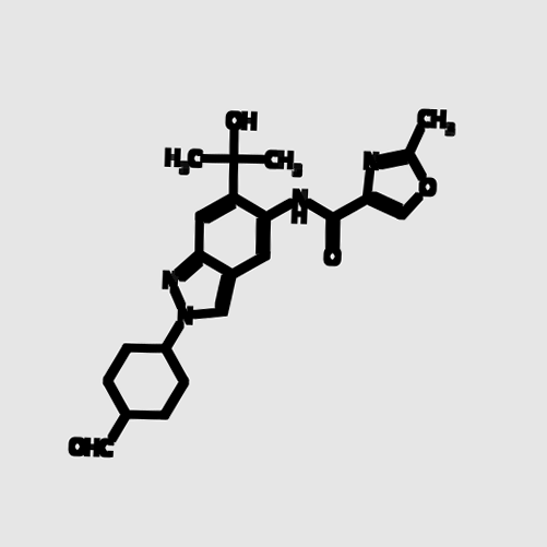 Cc1nc(C(=O)Nc2cc3cn(C4CCC(C=O)CC4)nc3cc2C(C)(C)O)co1